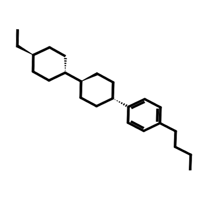 CCCCc1ccc([C@H]2CC[C@H]([C@H]3CC[C@H](CC)CC3)CC2)cc1